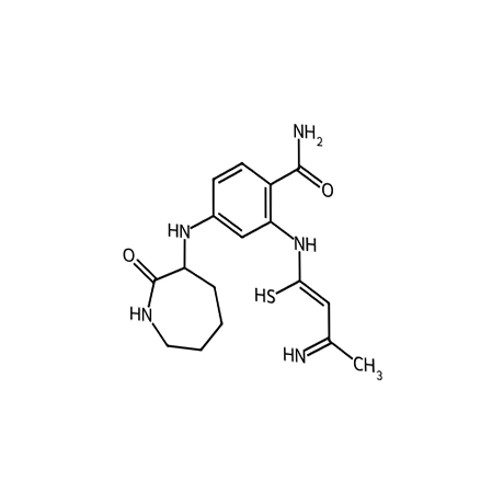 CC(=N)/C=C(\S)Nc1cc(NC2CCCCNC2=O)ccc1C(N)=O